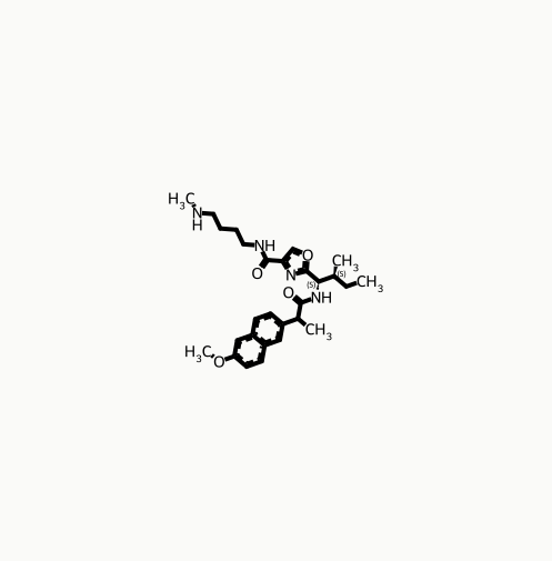 CC[C@H](C)[C@H](NC(=O)C(C)c1ccc2cc(OC)ccc2c1)c1nc(C(=O)NCCCCNC)co1